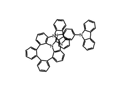 c1ccc2c(c1)c1ccccc1c1cccc3c1n(c1c(-n4c5ccccc5c5ccccc54)cccc21)c1nc2ccc(-n4c5ccccc5c5ccccc54)cc2n31